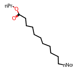 [CH2]CCOC(=O)CCCCCCCCCCCCCCCCCCC